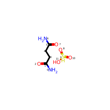 NC(=O)CCC(N)=O.O=[SH](=O)O